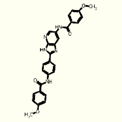 COc1ccc(C(=O)Nc2ccc(-c3nc4cc(NC(=O)c5ccc(OC)cc5)cnc4[nH]3)cc2)cc1